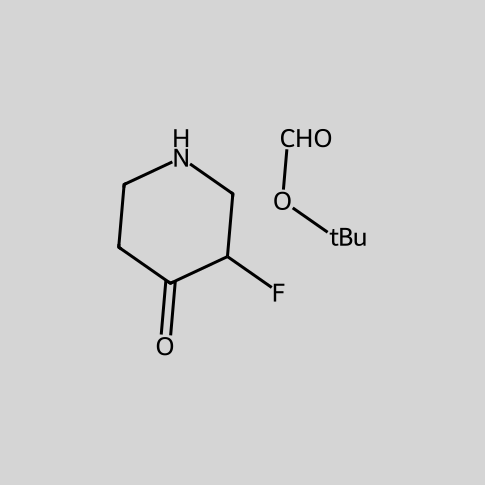 CC(C)(C)OC=O.O=C1CCNCC1F